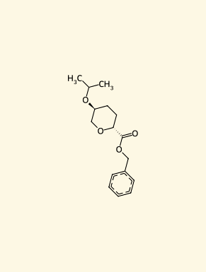 CC(C)O[C@H]1CC[C@H](C(=O)OCc2ccccc2)OC1